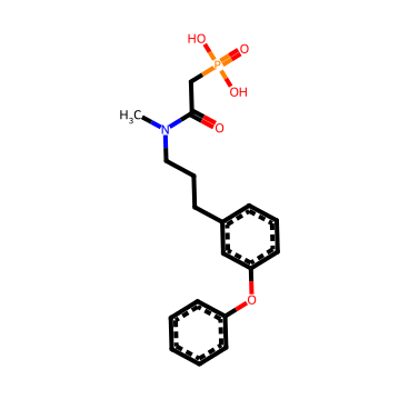 CN(CCCc1cccc(Oc2ccccc2)c1)C(=O)CP(=O)(O)O